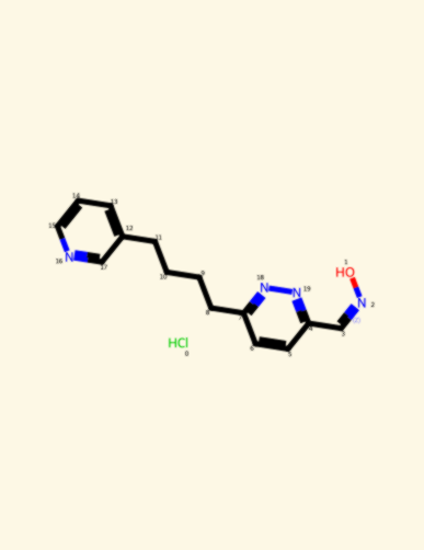 Cl.O/N=C\c1ccc(CCCCc2cccnc2)nn1